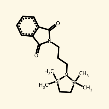 C[Si]1(C)CC[Si](C)(C)N1CCCN1C(=O)c2ccccc2C1=O